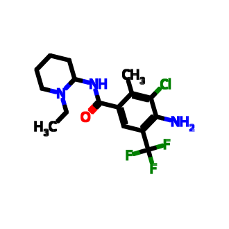 CCN1CCCCC1NC(=O)c1cc(C(F)(F)F)c(N)c(Cl)c1C